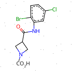 O=C(Nc1cc(Cl)ccc1Br)C1CN(C(=O)O)C1